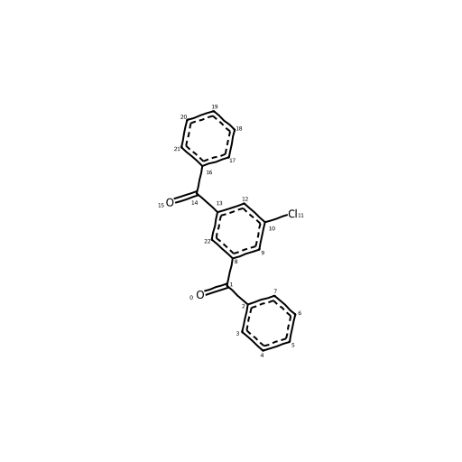 O=C(c1ccccc1)c1cc(Cl)cc(C(=O)c2ccccc2)c1